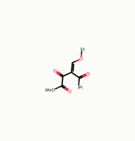 CCOC=C(C(=O)C(=O)OC)C(=O)C(C)C